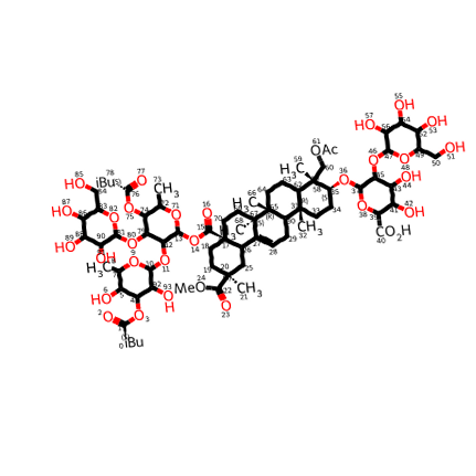 CC[C@H](C)C(=O)OC1C(O)C(C)OC(OC2C(OC(=O)[C@]34CC[C@](C)(C(=O)OC)CC3C3=CCC5[C@@]6(C)CC[C@H](OC7OC(C(=O)O)C(O)C(O)C7OC7OC(CO)C(O)C(O)C7O)[C@@](C)(COC(C)=O)C6CC[C@@]5(C)[C@]3(C)CC4)OC(C)C(OC(=O)[C@@H](C)CC)C2OC2OC(CO)C(O)C(O)C2O)C1O